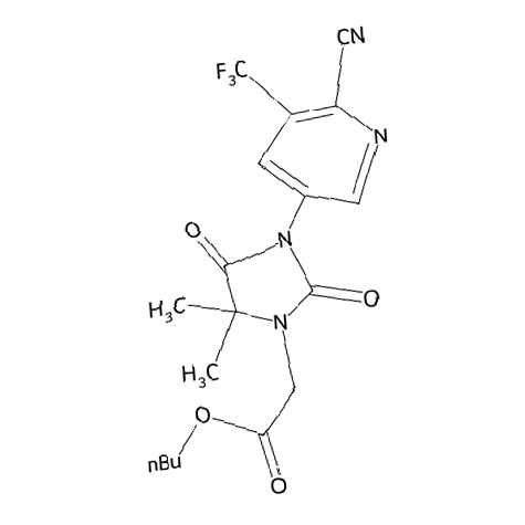 CCCCOC(=O)CN1C(=O)N(c2cnc(C#N)c(C(F)(F)F)c2)C(=O)C1(C)C